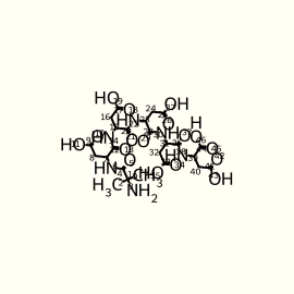 CC(C)(N)C(=O)NC(CC(=O)O)C(=O)NC(CC(=O)O)C(=O)NC(CC(=O)O)C(=O)NC(CC(=O)O)C(=O)NC(CC(=O)O)C(=O)O